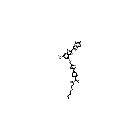 CCCCOCCNC(=O)c1ccc(-c2nc(COc3cc(OC)cc4nc(-c5cn6nc(C)sc6n5)sc34)cs2)cc1